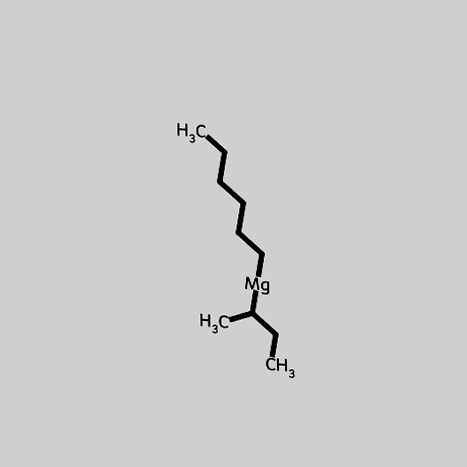 CCCCC[CH2][Mg][CH](C)CC